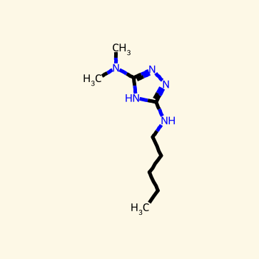 CCCCCNc1nnc(N(C)C)[nH]1